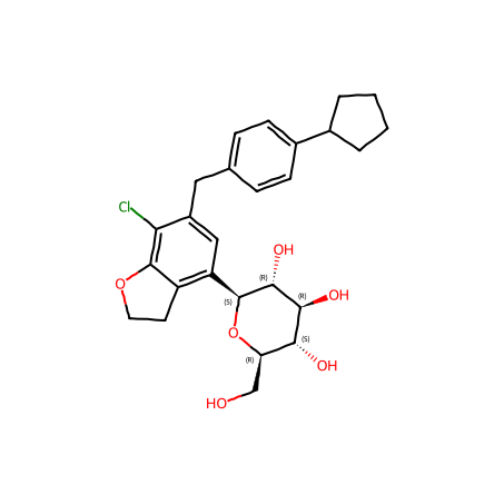 OC[C@H]1O[C@@H](c2cc(Cc3ccc(C4CCCC4)cc3)c(Cl)c3c2CCO3)[C@H](O)[C@@H](O)[C@@H]1O